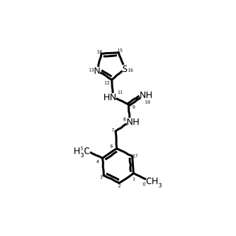 Cc1ccc(C)c(CNC(=N)Nc2nccs2)c1